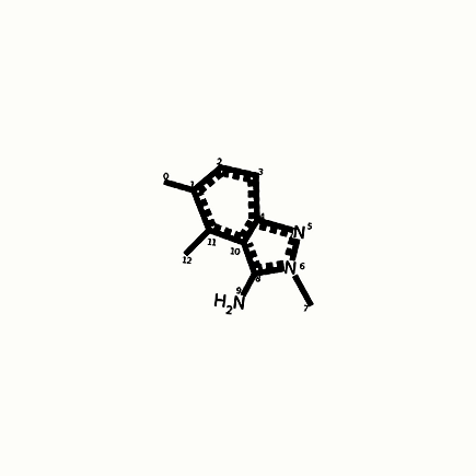 Cc1ccc2nn(C)c(N)c2c1C